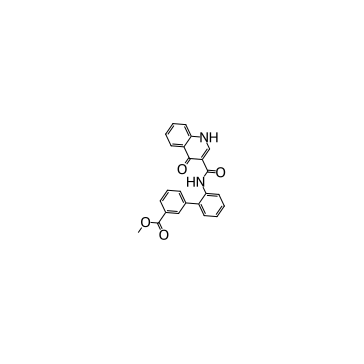 COC(=O)c1cccc(-c2ccccc2NC(=O)c2c[nH]c3ccccc3c2=O)c1